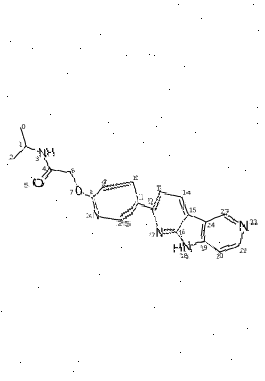 CC(C)NC(=O)COc1ccc(-c2ccc3c(n2)[nH]c2ccncc23)cn1